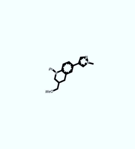 COCC1Cc2cc(-c3cnn(C)c3)ccc2N(C(C)C)C1